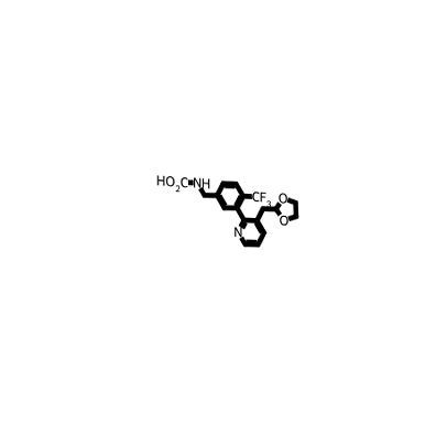 O=C(O)NCc1ccc(C(F)(F)F)c(-c2ncccc2CC2OCCO2)c1